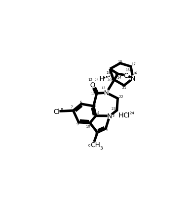 Cc1cn2c3c(cc(Cl)cc13)C(=O)N([C@@H]1CN3CCC1CC3)CC2.Cl